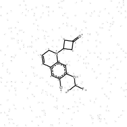 O=C1CC(N2CC=Cc3cc(Cl)c(OC(F)F)cc32)C1